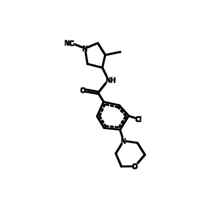 CC1CN(C#N)CC1NC(=O)c1ccc(N2CCOCC2)c(Cl)c1